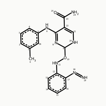 Cc1cccc(NC2=NC(ONc3ccccc3N=N)NC=C2C(N)=O)c1